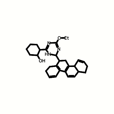 CCOC1=NC(C2CC3=C(C=CC4CCC=CC34)C3=C2CCC=C3)NC(C2CCCCC2O)=N1